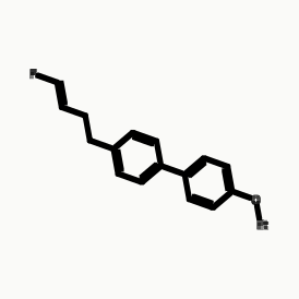 CCOc1ccc(-c2ccc(CCC=CF)cc2)cc1